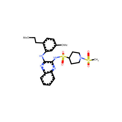 COCCc1ccc(OC)cc1Nc1nc2ccccc2nc1NS(=O)(=O)C1CCN(S(C)(=O)=O)CC1